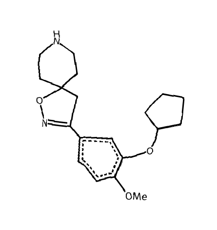 COc1ccc(C2=NOC3(CCNCC3)C2)cc1OC1CCCC1